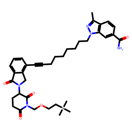 Cc1nn(CCCCCCCC#Cc2cccc3c2CN(C2CCC(=O)N(COCC[Si](C)(C)C)C2=O)C3=O)c2cc(C(N)=O)ccc12